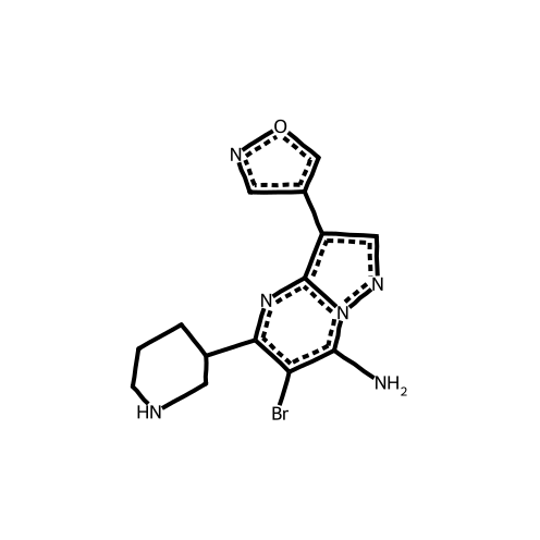 Nc1c(Br)c(C2CCCNC2)nc2c(-c3cnoc3)cnn12